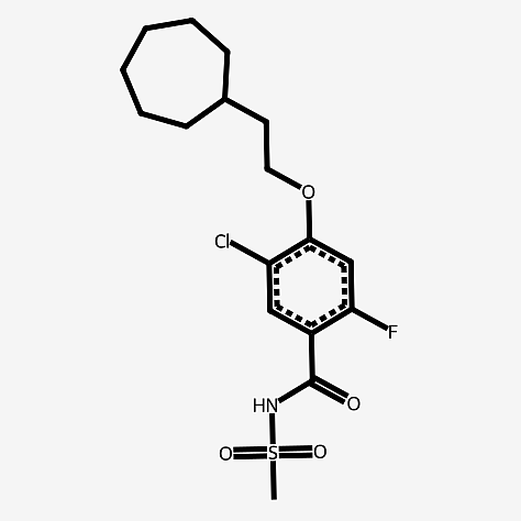 CS(=O)(=O)NC(=O)c1cc(Cl)c(OCCC2CCCCCC2)cc1F